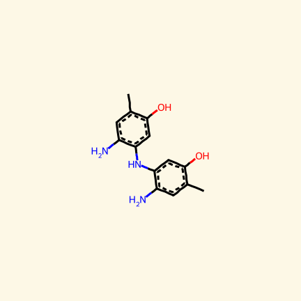 Cc1cc(N)c(Nc2cc(O)c(C)cc2N)cc1O